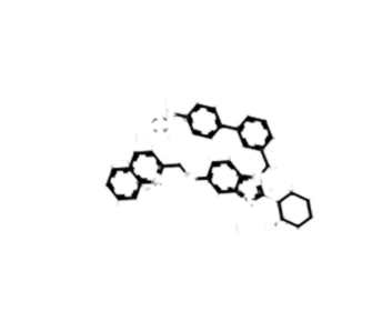 CS(=O)(=O)Nc1ccc(-c2cccc(Cn3c([C@H]4CCCC[C@H]4C(=O)O)nc4cc(OCc5ccc6ccccc6n5)ccc43)c2)cc1